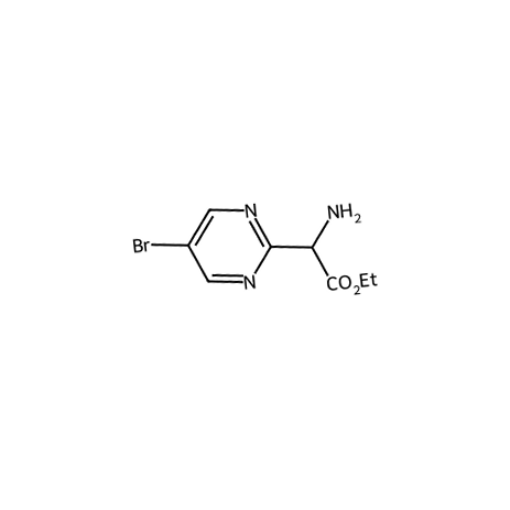 CCOC(=O)C(N)c1ncc(Br)cn1